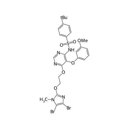 COc1cccc(Oc2c(NS(=O)(=O)c3ccc(C(C)(C)C)cc3)ncnc2OCCOc2nc(Br)c(Br)n2C)c1